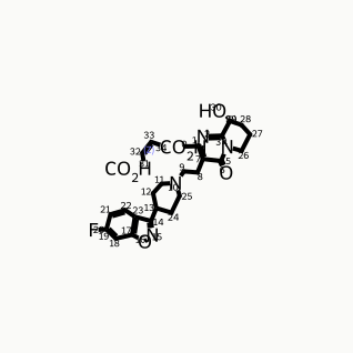 Cc1nc2n(c(=O)c1CCN1CCC(c3noc4cc(F)ccc34)CC1)CCC[C@H]2O.O=C(O)/C=C\C(=O)O